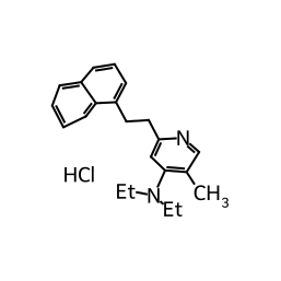 CCN(CC)c1cc(CCc2cccc3ccccc23)ncc1C.Cl